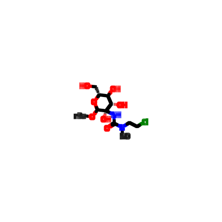 CCCCO[C@H]1O[C@H](CO)[C@@H](O)[C@H](O)[C@@]1(O)NC(=O)N(CCCl)N=O